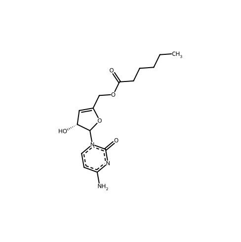 CCCCCC(=O)OCC1=C[C@@H](O)C(n2ccc(N)nc2=O)O1